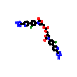 O=C(OC[C@H]1CN(c2ccc(-c3ccc(-c4nn[nH]n4)nc3)c(F)c2)C(=O)O1)OC[C@H]1CN(c2ccc(-c3ccc(-c4nn[nH]n4)nc3)c(F)c2)C(=O)O1